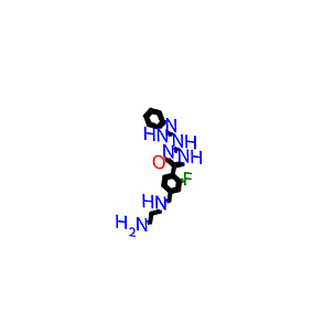 NCCCNCc1ccc(-c2c[nH]c(Nc3nc4ccccc4[nH]3)nc2=O)c(F)c1